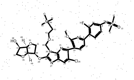 COc1nc(-c2ccc(N=S(C)(C)=O)cc2F)ccc1-c1nc2c(cc1Cl)nc(O[C@@H]1CO[C@H]3[C@@H]1OC[C@H]3O)n2COCC[Si](C)(C)C